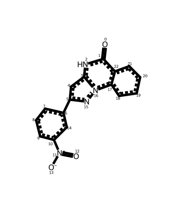 O=c1[nH]c2cc(-c3cccc([N+](=O)[O-])c3)nn2c2ccccc12